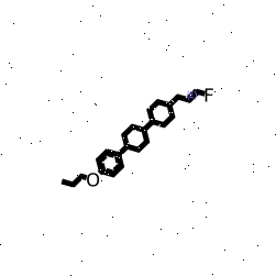 CCCOc1ccc(C2CCC(C3CCC(C/C=C/F)CC3)CC2)cc1